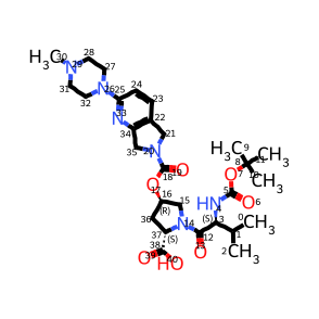 CC(C)[C@H](NC(=O)OC(C)(C)C)C(=O)N1C[C@H](OC(=O)N2Cc3ccc(N4CCN(C)CC4)nc3C2)C[C@H]1C(=O)O